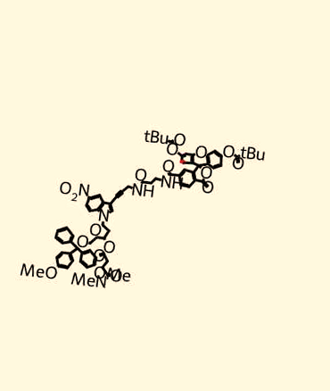 CNC(=O)CCC(=O)OC1CC(n2cc(C#CCNC(=O)CCNC(=O)c3ccc4c(c3)C3(OC4=O)c4ccc(OC(=O)C(C)(C)C)cc4Oc4cc(OC(=O)C(C)(C)C)ccc43)c3cc([N+](=O)[O-])ccc32)OC1COC(c1ccccc1)(c1ccc(OC)cc1)c1ccc(OC)cc1